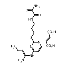 NC(=O)C(=O)NCCCSc1nccc(NC(N)=NCC(F)(F)F)n1.O=C(O)C=CC(=O)O